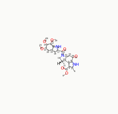 COC(=O)c1c(C)[nH]c2c1[C@@]13C[C@@H]1CN(C(=O)c1cc4cc(OC)c(OC)c(OC)c4[nH]1)C3=CC2=O